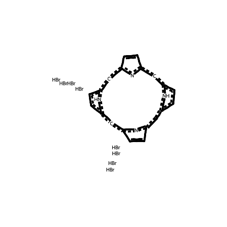 Br.Br.Br.Br.Br.Br.Br.Br.C1=Cc2cc3ccc(cc4nc(cc5ccc(cc1n2)[nH]5)C=C4)[nH]3